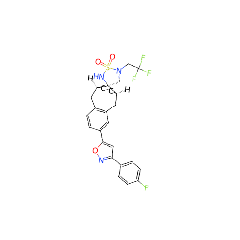 O=S1(=O)N[C@@]2(CN1CC(F)(F)F)[C@@H]1CC[C@H]2Cc2ccc(-c3cc(-c4ccc(F)cc4)no3)cc2C1